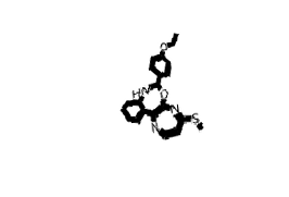 CCOc1ccc(C2Nc3ccccc3C3=C(N=C(SC)C=C=N3)O2)cc1